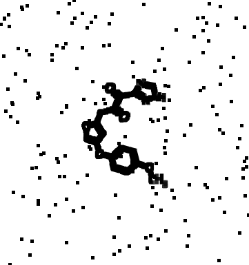 COc1ccc(Oc2coc(CC(=O)C(=O)c3nc[nH]n3)c2)cc1